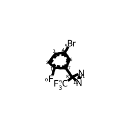 Fc1ccc(Br)cc1C1(C(F)(F)F)N=N1